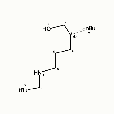 CCCC[C@@H](CO)CCCNCC(C)(C)C